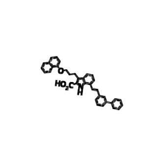 O=C(O)c1[nH]c2c(C=Cc3cccc(-c4ccccc4)c3)cccc2c1CCCOc1cccc2ccccc12